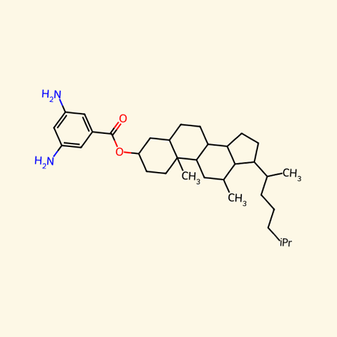 CC(C)CCCC(C)C1CCC2C3CCC4CC(OC(=O)c5cc(N)cc(N)c5)CCC4(C)C3CC(C)C12